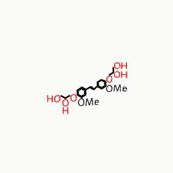 COc1cc(C=Cc2ccc(OCC(O)CO)c(OC)c2)ccc1OCC(O)CO